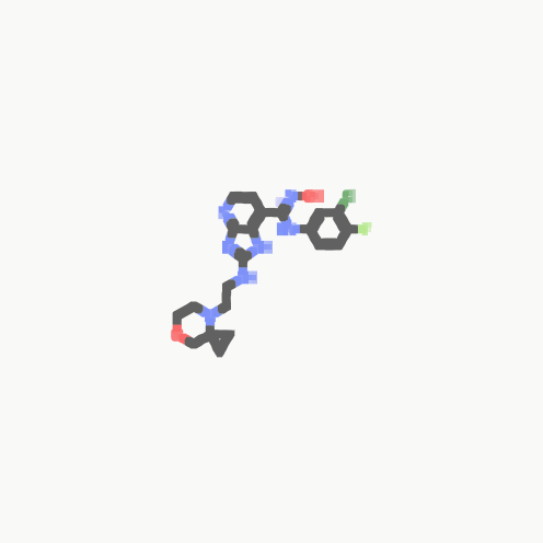 O/N=C(\Nc1ccc(F)c(Cl)c1)c1ccnc2nc(NCCN3CCOCC34CC4)[nH]c12